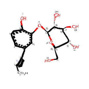 O=C(O)/C=C/c1ccc(O)c(O[C@@H]2O[C@H](CO)[C@@H](O)[C@H](O)[C@H]2O)c1